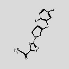 NC(=O)c1nnc(N2CCC(Oc3cc(F)ccc3Br)C2)o1